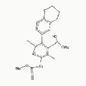 COC(O)c1c(C)c(NC(=O)OC(C)(C)C)cc(C)c1-c1ccc2c(c1)CCCO2